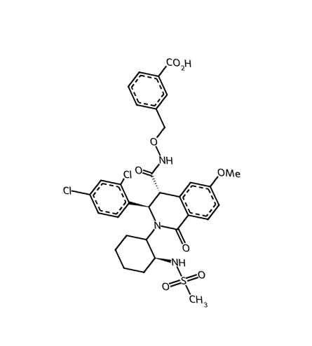 COc1ccc2c(c1)[C@@H](C(=O)NOCc1cccc(C(=O)O)c1)[C@H](c1ccc(Cl)cc1Cl)N(C1CCCC[C@@H]1NS(C)(=O)=O)C2=O